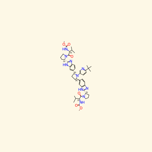 COC(=O)N[C@H](C(=O)N1CCC[C@H]1c1nc2ccc([C@H]3CC[C@H](c4ccc5nc([C@@H]6CCCN6C(=O)[C@@H](NC(=O)OC)C(C)C)[nH]c5c4)N3c3ccc(C(C)(C)C)nc3)cc2[nH]1)C(C)C